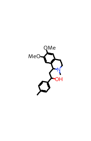 COc1cc2c(cc1OC)C(CC(O)c1ccc(C)cc1)N(C)CC2